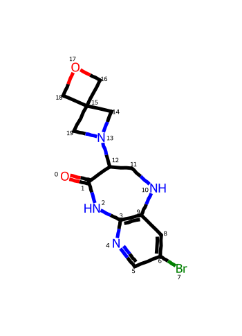 O=C1Nc2ncc(Br)cc2NCC1N1CC2(COC2)C1